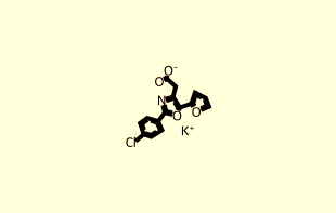 O=C([O-])Cc1nc(-c2ccc(Cl)cc2)oc1-c1ccco1.[K+]